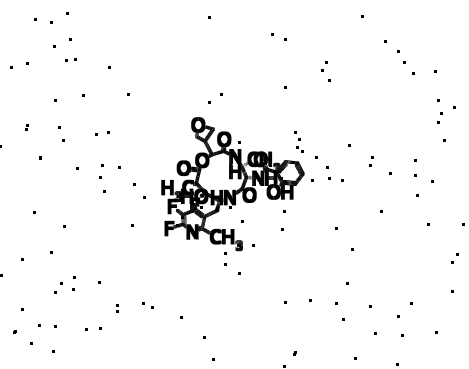 Cc1nc(F)c(F)c(F)c1C[C@@H]1NC(=O)[C@@H](NC(=O)c2ccccc2O)[C@@H](C)NC(=O)C(C2COC2)OC(=O)[C@H](C)[C@@H]1O